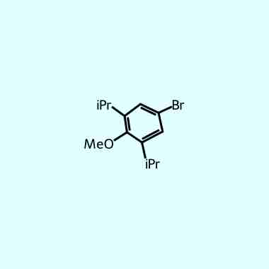 COc1c(C(C)C)cc(Br)cc1C(C)C